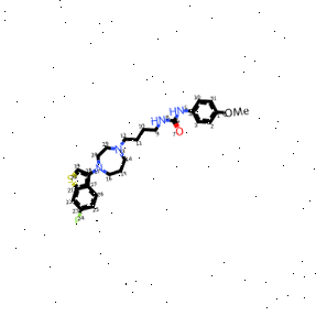 COc1ccc(NC(=O)NCCCCN2CCCN(c3csc4cc(F)ccc34)CC2)cc1